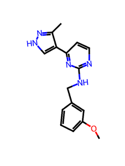 COc1cccc(CNc2nccc(-c3c[nH]nc3C)n2)c1